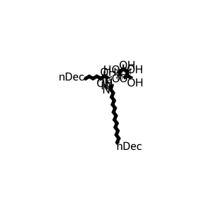 CCCCCCCCCCCCCCCCCCCCCCCCc1cn([C@@H](CO[C@H]2OC(CO)[C@H](O)[C@H](O)[C@H]2O)[C@H](O)[C@H](O)CCCCCCCCCCCCCC)nn1